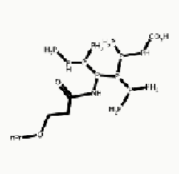 CCCOCCC(=O)NP(P(P)PP)P(P(P)P)P(P)PC(=O)O